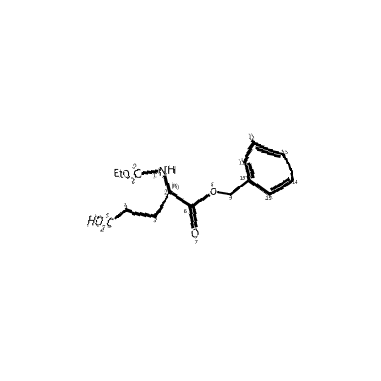 CCOC(=O)N[C@H](CCC(=O)O)C(=O)OCc1ccccc1